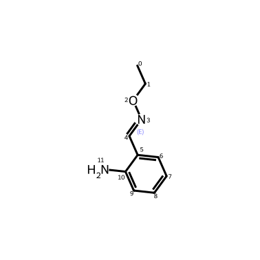 CCO/N=C/c1ccccc1N